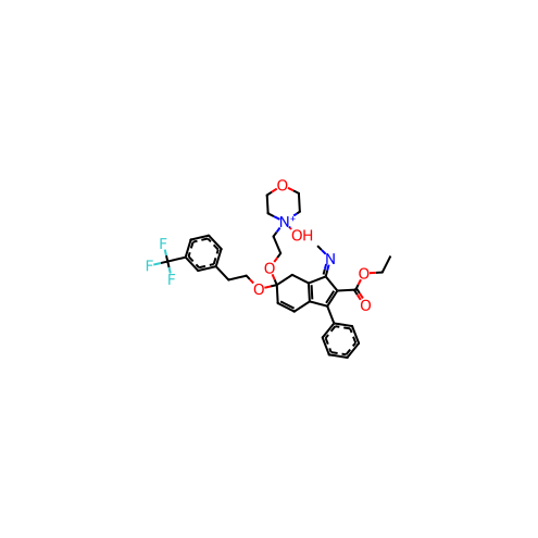 CCOC(=O)C1=C(c2ccccc2)C2=C(CC(OCCc3cccc(C(F)(F)F)c3)(OCC[N+]3(O)CCOCC3)C=C2)/C1=N\C